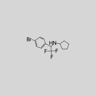 FC(F)(F)C(NC1CCCC1)c1ccc(Br)cc1